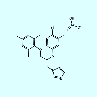 Cc1cc(C)c(OCC(Cn2ccnc2)Sc2ccc(Cl)c(Cl)c2)c(C)c1.O=[N+]([O-])O